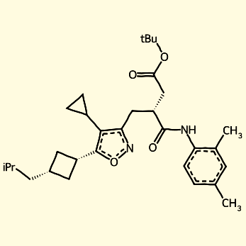 Cc1ccc(NC(=O)[C@@H](CC(=O)OC(C)(C)C)Cc2noc([C@H]3C[C@@H](CC(C)C)C3)c2C2CC2)c(C)c1